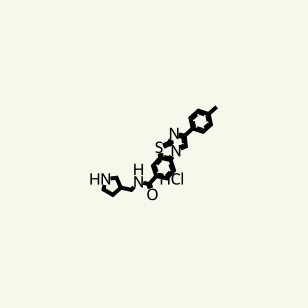 Cc1ccc(-c2cn3c(n2)sc2cc(C(=O)NCC4CCNC4)ccc23)cc1.Cl